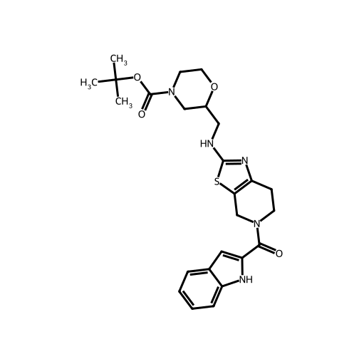 CC(C)(C)OC(=O)N1CCOC(CNc2nc3c(s2)CN(C(=O)c2cc4ccccc4[nH]2)CC3)C1